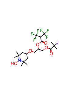 CC(C)(I)C(=O)OCC(COC1CC(C)(C)N(O)C(C)(C)C1)OC(=O)C(C(F)(F)F)C(F)(F)F